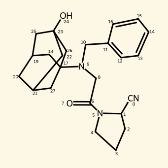 N#CC1CCCN1C(=O)CN(Cc1ccccc1)C12CC3CC(CC(O)(C3)C1)C2